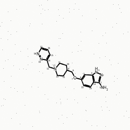 Nc1n[nH]c2cc(OCC3CCN(Cc4cccnn4)CC3)ccc12